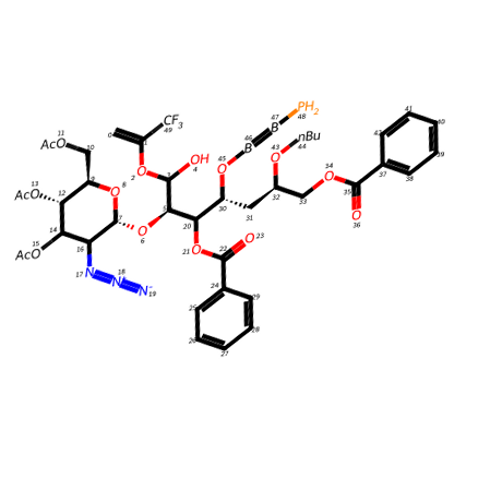 C=C(OC(O)[C@H](O[C@H]1O[C@H](COC(C)=O)[C@@H](OC(C)=O)C(OC(C)=O)C1N=[N+]=[N-])C(OC(=O)c1ccccc1)[C@@H](C[C@H](COC(=O)c1ccccc1)OCCCC)OB=BP)C(F)(F)F